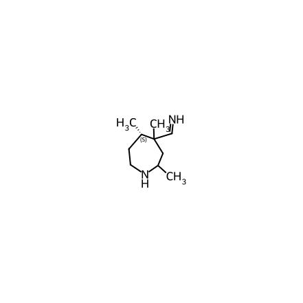 CC1CC(C)(C=N)[C@@H](C)CCN1